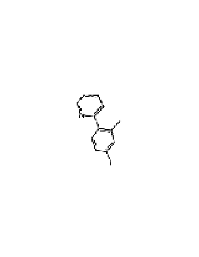 Cc1cc(F)ccc1-c1ccccn1